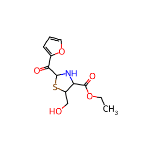 CCOC(=O)C1NC(C(=O)c2ccco2)SC1CO